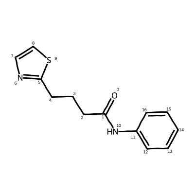 O=C(CCCc1nccs1)Nc1ccccc1